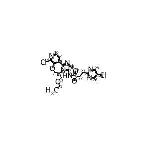 CCOC[C@H]1COc2c(ccnc2Cl)-c2nnc(NS(=O)(=O)CCc3ncc(Cl)cn3)n21